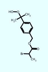 CC(Br)C(=O)OCc1ccc(C(C)(C)OO)cc1